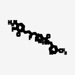 Nc1ccn(CCC(F)Cn2cc(C(=O)NCc3cncc(C(F)(F)F)c3)nn2)c(=O)c1F